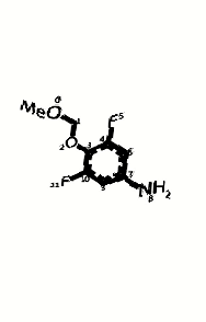 COCOc1c(F)cc(N)cc1F